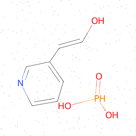 O=[PH](O)O.OC=Cc1cccnc1